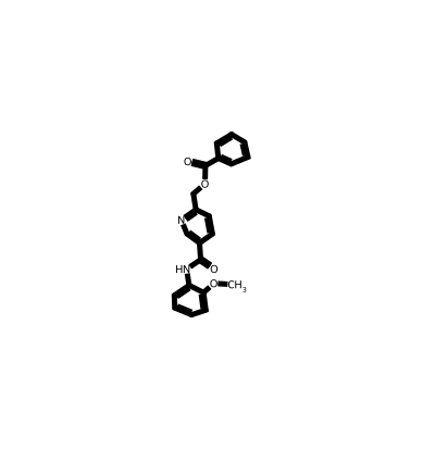 COc1ccccc1NC(=O)c1ccc(COC(=O)c2ccccc2)nc1